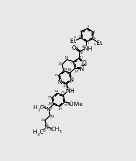 CCc1cccc(CC)c1NC(=O)c1onc2c1CCc1cnc(Nc3ccc(N(C)CCN(C)C)cc3OC)nc1-2